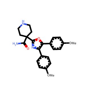 COc1ccc(-c2nc(C3(C(N)=O)CCNCC3)oc2-c2ccc(OC)cc2)cc1